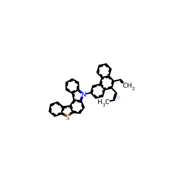 C=Cc1c(/C=C\C)c2ccc(-n3c4ccccc4c4c5c(ccc43)sc3ccccc35)cc2c2ccccc12